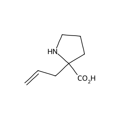 C=CCC1(C(=O)O)CCCN1